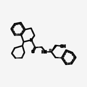 O=C(CN[C@@H](CO)Cc1ccccc1)N1CCc2ccccc2C1C1CCCCC1